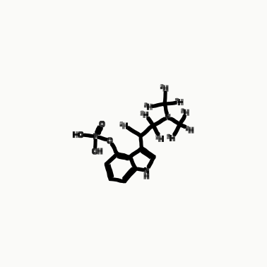 [2H]C(c1c[nH]c2cccc(OP(=O)(O)O)c12)C([2H])([2H])N(C([2H])([2H])[2H])C([2H])([2H])[2H]